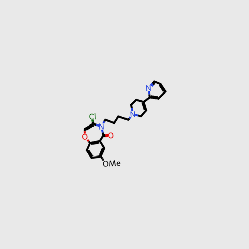 COc1ccc2c(c1)C(=O)N(CCCCN1CC=C(c3ccccn3)CC1)C(Cl)=CO2